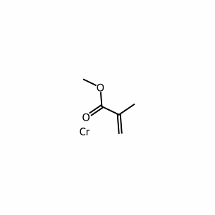 C=C(C)C(=O)OC.[Cr]